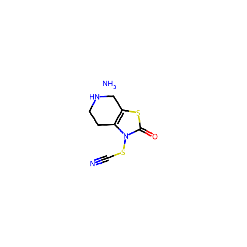 N.N#CSn1c2c(sc1=O)CNCC2